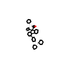 c1ccc(N(c2ccccc2)c2ccc(-c3cccc4c3-c3ccccc3C43c4ccccc4N(c4ccccc4)c4ccccc43)cc2)cc1